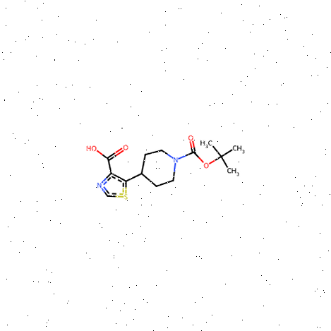 CC(C)(C)OC(=O)N1CCC(c2scnc2C(=O)O)CC1